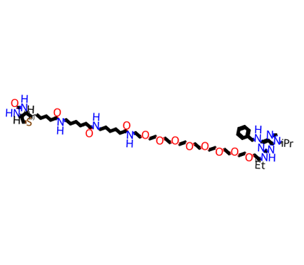 CC[C@H](COCCOCCOCCOCCOCCOCCOCCOCCNC(=O)CCCCCNC(=O)CCCCCNC(=O)CCCC[C@@H]1SC[C@@H]2NC(=O)N[C@@H]21)Nc1nc(NCc2ccccc2)c2ncn(C(C)C)c2n1